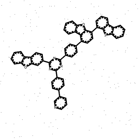 c1cncc(-c2ccc(-c3nc(-c4ccc(-c5ccc(-c6cccc7c6sc6ccccc67)c6oc7ccccc7c56)cc4)nc(-c4ccc5c(c4)oc4ccccc45)n3)cc2)c1